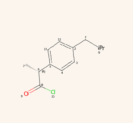 CC(C)Cc1ccc([C@@H](C)C(=O)Cl)cc1